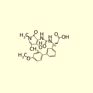 COc1ccc(-c2cccc([C@H](CC(=O)O)NC(=O)Nc3c(O)c(C)cn(C)c3=O)c2)cc1